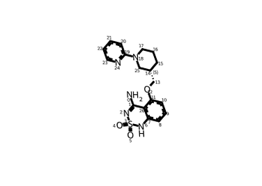 NC1=NS(=O)(=O)Nc2cccc(OC[C@H]3CCCN(c4ccccn4)C3)c21